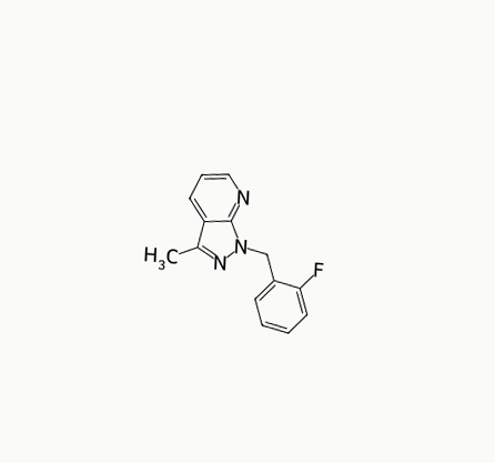 Cc1nn(Cc2ccccc2F)c2ncccc12